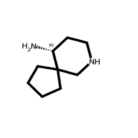 N[C@@H]1CCNCC12CCCC2